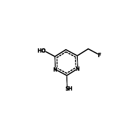 Oc1cc(CF)nc(S)n1